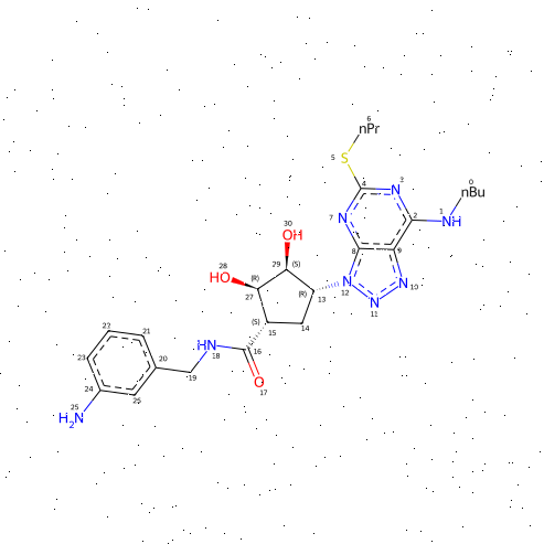 CCCCNc1nc(SCCC)nc2c1nnn2[C@@H]1C[C@H](C(=O)NCc2cccc(N)c2)[C@@H](O)[C@H]1O